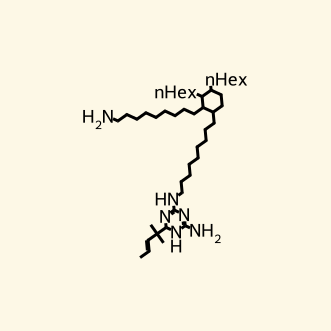 CC=CC(C)(C)C1N=C(NCCCCCCCCCC2CCC(CCCCCC)C(CCCCCC)C2CCCCCCCCCN)N=C(N)N1